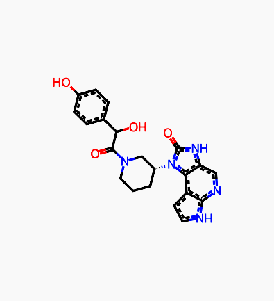 O=C(C(O)c1ccc(O)cc1)N1CCC[C@@H](n2c(=O)[nH]c3cnc4[nH]ccc4c32)C1